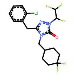 O=c1n(C(F)C(F)F)nc(Cc2ccccc2Cl)n1CC1CCC(F)(F)CC1